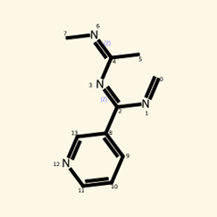 C=N/C(=N\C(C)=N/C)c1cccnc1